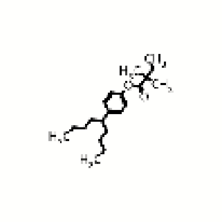 CCCCC(CCCC)c1ccc(OC(=O)C(C)(C)CC)cc1